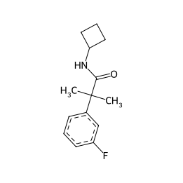 CC(C)(C(=O)NC1CCC1)c1cccc(F)c1